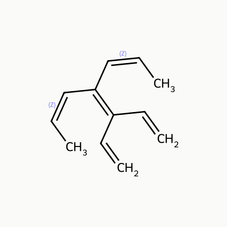 C=CC(C=C)=C(/C=C\C)/C=C\C